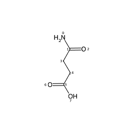 NC(=O)C[CH]C(=O)O